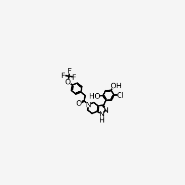 O=C(Cc1ccc(OC(F)(F)F)cc1)N1CCc2[nH]nc(-c3cc(Cl)c(O)cc3O)c2C1